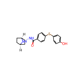 O=C(N[C@@H]1C[C@H]2CC[C@@H]1N2)c1ccc(Sc2ccc(O)cc2)cc1